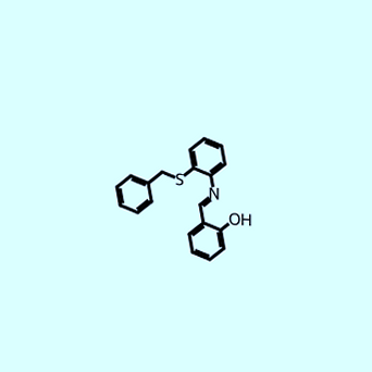 Oc1ccccc1C=Nc1ccccc1SCc1ccccc1